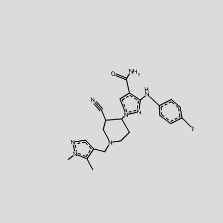 Cc1c(CN2CCC(n3cc(C(N)=O)c(Nc4ccc(F)cc4)n3)C(C#N)C2)cnn1C